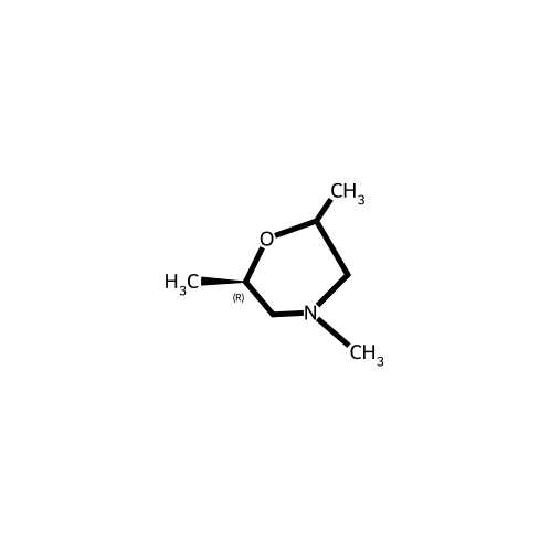 CC1CN(C)C[C@@H](C)O1